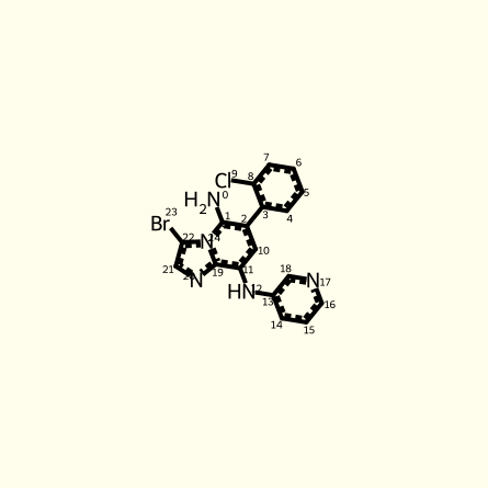 Nc1c(-c2ccccc2Cl)cc(Nc2cccnc2)c2ncc(Br)n12